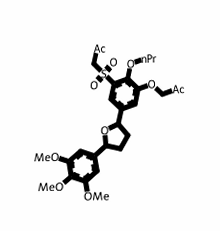 CCCOc1c(OCC(C)=O)cc(C2CCC(c3cc(OC)c(OC)c(OC)c3)O2)cc1S(=O)(=O)CC(C)=O